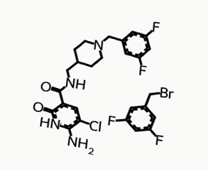 Fc1cc(F)cc(CBr)c1.Nc1[nH]c(=O)c(C(=O)NCC2CCN(Cc3cc(F)cc(F)c3)CC2)cc1Cl